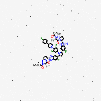 COC(=O)N[C@H](C(=O)N1CCC[C@H]1c1nc2cc([C@H]3CC[C@H](c4cc5nc([C@@H]6CCCN6C(=O)[C@@H](NC(=O)OC)C(C)C)[nH]c5cc4F)N3c3cc(F)c(N4CCC(c5ccc(F)cc5)CC4)c(F)c3)c(F)cc2[nH]1)C(C)C